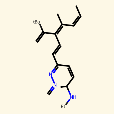 C=N/N=C(\C=C/C(C)NCC)/C=C/C(C(=C)C(C)(C)C)=C(C)\C=C/C